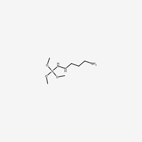 CO[Si](NNCCCN)(OC)OC